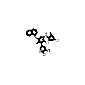 Cc1cc(Cl)ccc1Nc1cc([N]c2cccc3ccccc23)c(C)c(-c2cnc(Cl)c(Cl)c2)c1Cl